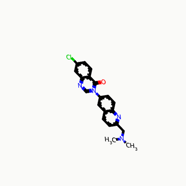 CN(C)Cc1ccc2cc(-n3cnc4cc(Cl)ccc4c3=O)ccc2n1